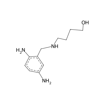 Nc1ccc(N)c(CNCCCCO)c1